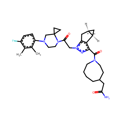 Cc1c(F)ccc(N2CCN(C(=O)Cn3nc(C(=O)N4CCCCC(CC(N)=O)CC4)c4c3C[C@H]3C[C@@H]43)C3(CC3)C2)c1C